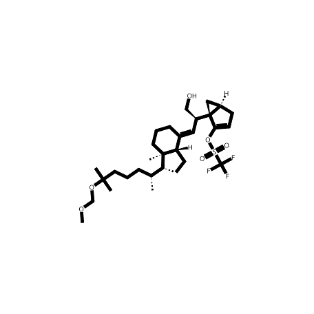 COCOC(C)(C)CCC[C@@H](C)[C@H]1CC[C@H]2/C(=C/[C@@H](CO)[C@]34C[C@H]3CC=C4OS(=O)(=O)C(F)(F)F)CCC[C@]12C